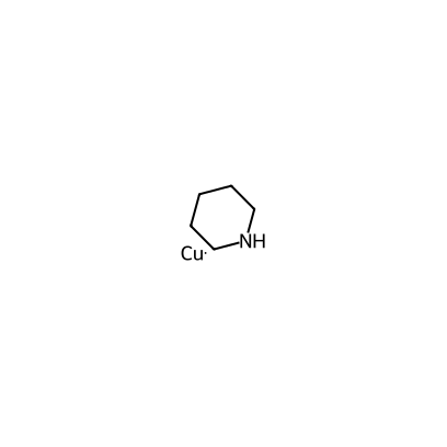 C1CCNCC1.[Cu]